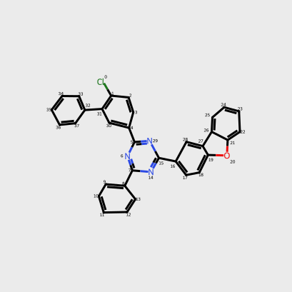 Clc1ccc(-c2nc(-c3ccccc3)nc(-c3ccc4oc5ccccc5c4c3)n2)cc1-c1ccccc1